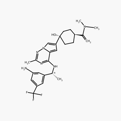 C=C([C@H]1CC[C@@](O)(c2cc3c(N[C@H](C)c4cc(N)cc(C(F)(F)F)c4)nc(C)nn3c2)CC1)N(C)C